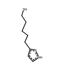 OCCCCCc1cc[nH]n1